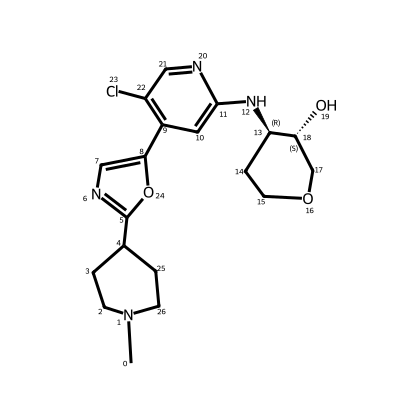 CN1CCC(c2ncc(-c3cc(N[C@@H]4CCOC[C@H]4O)ncc3Cl)o2)CC1